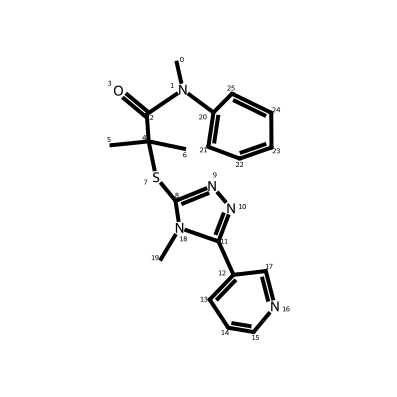 CN(C(=O)C(C)(C)Sc1nnc(-c2cccnc2)n1C)c1ccccc1